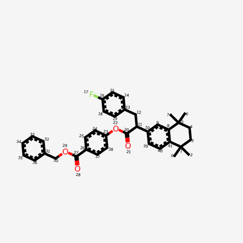 CC1(C)CCC(C)(C)c2cc(C(Cc3ccc(F)cc3)C(=O)Oc3ccc(C(=O)OCc4ccccc4)cc3)ccc21